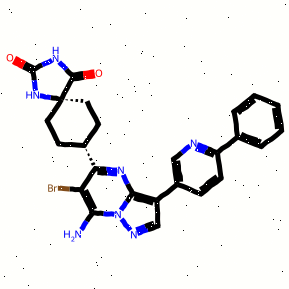 Nc1c(Br)c([C@H]2CC[C@]3(CC2)NC(=O)NC3=O)nc2c(-c3ccc(-c4ccccc4)nc3)cnn12